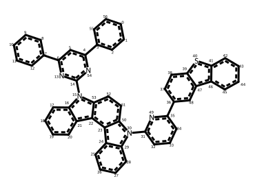 c1ccc(-c2cc(-c3ccccc3)nc(-n3c4ccccc4c4c5c6ccccc6n(-c6cccc(-c7ccc8sc9ccccc9c8c7)n6)c5ccc43)n2)cc1